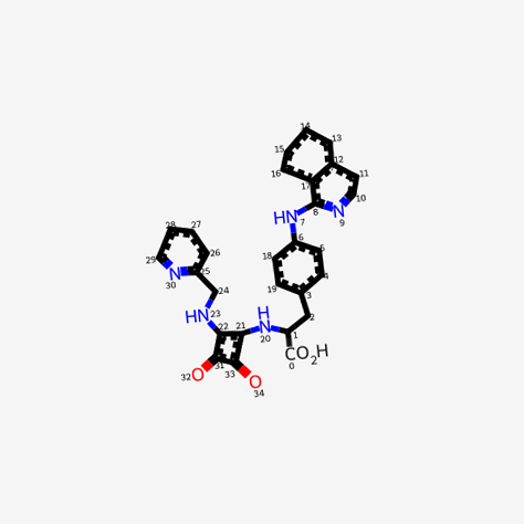 O=C(O)C(Cc1ccc(Nc2nccc3ccccc23)cc1)Nc1c(NCc2ccccn2)c(=O)c1=O